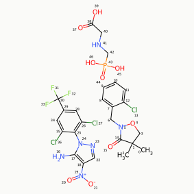 CC1(C)CON(Cc2ccccc2Cl)C1=O.Nc1c([N+](=O)[O-])cnn1-c1c(Cl)cc(C(F)(F)F)cc1Cl.O=C(O)CNCP(=O)(O)O